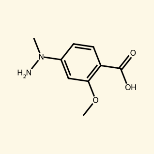 COc1cc(N(C)N)ccc1C(=O)O